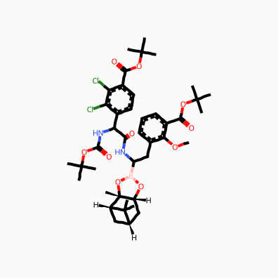 COc1c(CC(NC(=O)C(NC(=O)OC(C)(C)C)c2ccc(C(=O)OC(C)(C)C)c(Cl)c2Cl)B2O[C@@H]3C[C@@H]4C[C@@H](C4(C)C)[C@]3(C)O2)cccc1C(=O)OC(C)(C)C